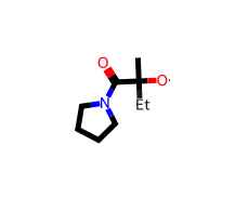 CCC(C)([O])C(=O)N1CCCC1